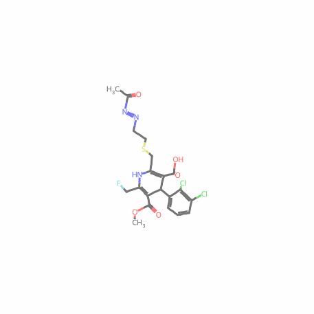 COC(=O)C1=C(CF)NC(CSCCN=NC(C)=O)=C(C(=O)O)C1c1cccc(Cl)c1Cl